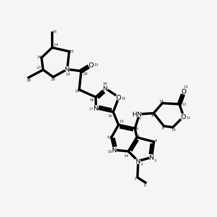 CCn1ncc2c(NC3CCOC(=O)C3)c(-c3nc(CC(=O)N4CC(C)CC(C)C4)no3)cnc21